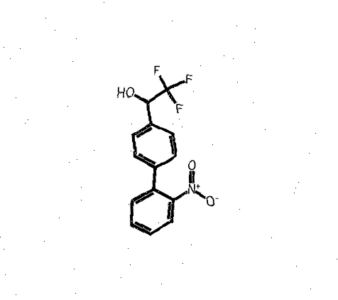 O=[N+]([O-])c1ccccc1-c1ccc(C(O)C(F)(F)F)cc1